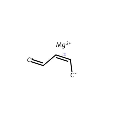 [CH-]=C/C=C\[CH2-].[Mg+2]